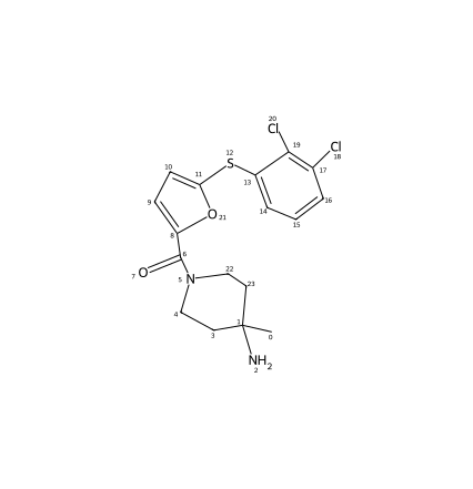 CC1(N)CCN(C(=O)c2ccc(Sc3cccc(Cl)c3Cl)o2)CC1